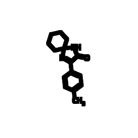 Cc1ccc(C2=NC3(CCCCC3)NC2=O)cc1